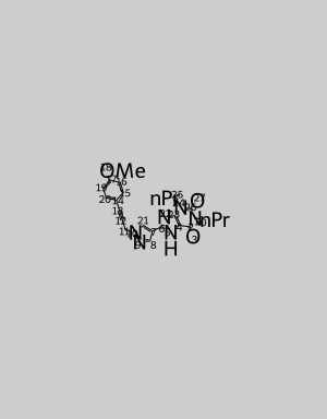 CCCn1c(=O)c2[nH]c(-c3cnn(CC#Cc4ccc(OC)cc4)c3)nc2n(CCC)c1=O